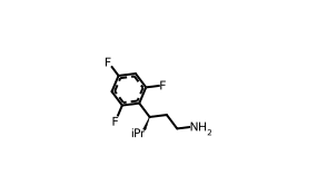 CC(C)[C@H](CCN)c1c(F)cc(F)cc1F